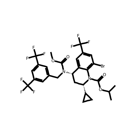 COC(=O)N(Cc1cc(C(F)(F)F)cc(C(F)(F)F)c1)[C@H]1C[C@@H](C2CC2)N(C(=O)OC(C)C)c2c(Br)cc(C(F)(F)F)cc21